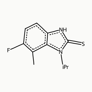 Cc1c(F)ccc2[nH]c(=S)n(C(C)C)c12